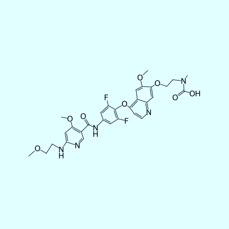 COCCNc1cc(OC)c(C(=O)Nc2cc(F)c(Oc3ccnc4cc(OCCN(C)C(=O)O)c(OC)cc34)c(F)c2)cn1